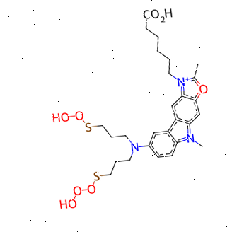 Cc1oc2cc3c(cc2[n+]1CCCCCC(=O)O)c1cc(N(CCCSOO)CCCSOOO)ccc1n3C